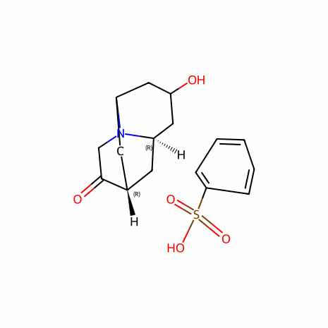 O=C1CN2C3CC(O)C[C@H]2C[C@H]1C3.O=S(=O)(O)c1ccccc1